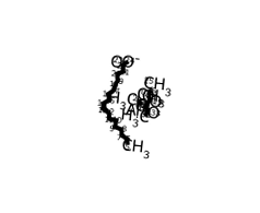 CC(C)[O][Al+].CCCCCCCC/C=C\CCCCCCCC(=O)[O-].CCOC(=O)CC(C)=O